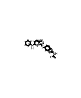 CC(=O)Nc1nc2ccc(Sc3nnc4ccc(NC5CCCCC5)nn34)cc2s1